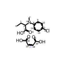 CCC(C(=O)O)N(C)c1ccc(Cl)cc1.O=C(O)/C=C\C(=O)O